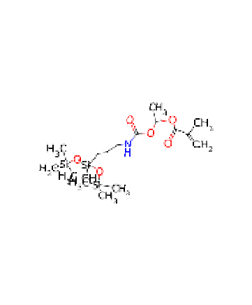 C=C(C)C(=O)OC(C)OC(=O)NCCC[Si](C)(O[Si](C)(C)C)O[Si](C)(C)C